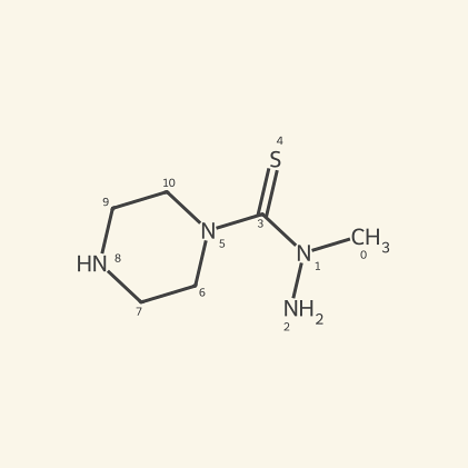 CN(N)C(=S)N1CCNCC1